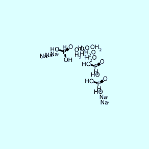 O.O.O.O.O.O.O=[PH](O)O.O=[PH](O)O.O=[PH](O)O.[Na].[Na].[Na].[Na].[Na]